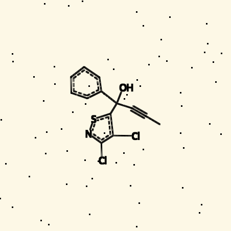 CC#CC(O)(c1ccccc1)c1snc(Cl)c1Cl